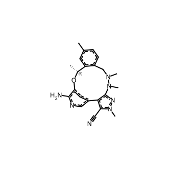 Cc1ccc2c(c1)[C@@H](C)Oc1cc(cnc1N)-c1c(nn(C)c1C#N)N(C)N(C)C2